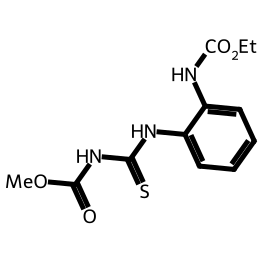 CCOC(=O)Nc1ccccc1NC(=S)NC(=O)OC